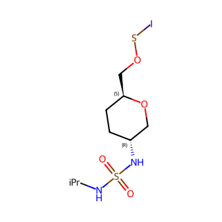 CC(C)NS(=O)(=O)N[C@@H]1CC[C@@H](COSI)OC1